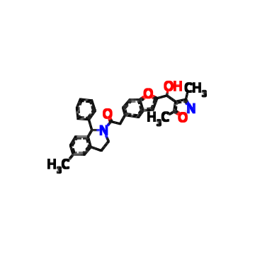 Cc1ccc2c(c1)CCN(C(=O)Cc1ccc3oc(C(O)c4c(C)noc4C)cc3c1)C2c1ccccc1